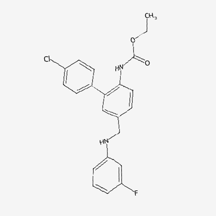 CCOC(=O)Nc1ccc(CNc2cccc(F)c2)cc1-c1ccc(Cl)cc1